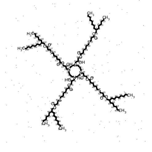 CCCCCCCCC(CCCCCC)COC(=O)CCSCCCCCC(=O)OCC(O)CN1CCCN(CC(O)COC(=O)CCCCCSCCC(=O)OCC(CCCCCC)CCCCCCCC)CCN(CC(O)COC(=O)CCCCCSCCC(=O)OCC(CCCCCC)CCCCCCCC)CCCN(CC(O)COC(=O)CCCCCSCCC(=O)OCC(CCCCCC)CCCCCCCC)CC1